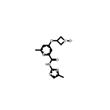 Cc1cc(OC2C[S+]([O-])C2)cc(C(=O)Nc2nc(C)cs2)n1